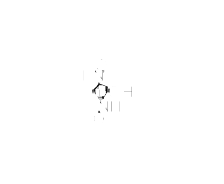 Cl.O=CNc1ccc(NC=O)nc1